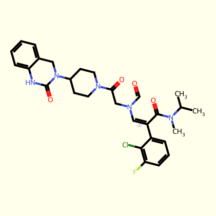 CC(C)N(C)C(=O)/C(=C\N(C=O)CC(=O)N1CCC(N2Cc3ccccc3NC2=O)CC1)c1cccc(F)c1Cl